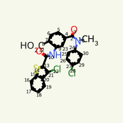 CN(C(=O)c1ccc(C(=O)O)c(NC(=O)c2sc3ccccc3c2Cl)c1)c1ccc(Cl)cc1